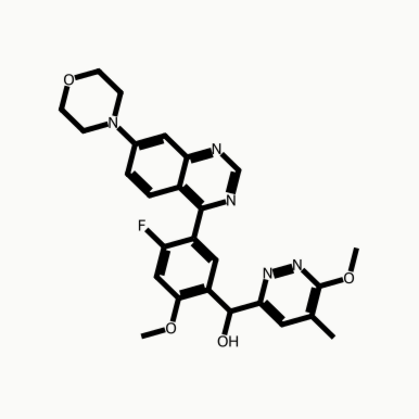 COc1cc(F)c(-c2ncnc3cc(N4CCOCC4)ccc23)cc1C(O)c1cc(C)c(OC)nn1